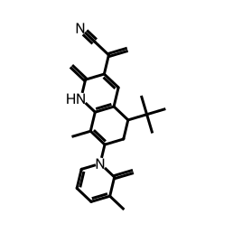 C=C(C#N)C1=CC2=C(NC1=C)C(C)=C(N1C=CC=C(C)C1=C)CC2C(C)(C)C